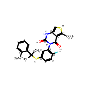 COc1ccccc1C(C)(C)Sc1ccc(F)c(-n2c(=O)[nH]c3csc(C(=O)O)c3c2=O)c1